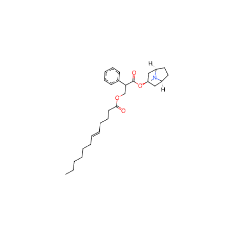 CCCCCCC=CCCCC(=O)OCC(C(=O)O[C@H]1C[C@H]2CC[C@@H](C1)N2C)c1ccccc1